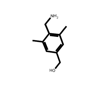 Cc1cc(CO)cc(C)c1CN